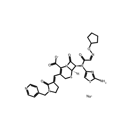 Nc1nc(N(C(=O)/C=N\OC2CCCC2)[C@@H]2C(=O)N3C(C(=O)[O-])=C(/C=C4\CCN(Cc5ccncc5)C4=O)CS[C@H]23)cs1.[Na+]